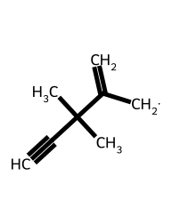 C#CC(C)(C)C([CH2])=C